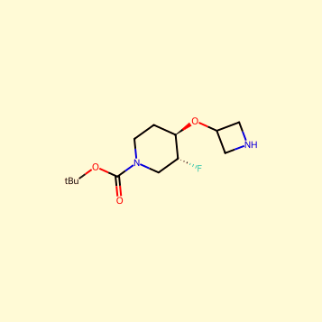 CC(C)(C)OC(=O)N1CC[C@@H](OC2CNC2)[C@H](F)C1